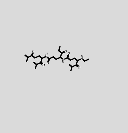 CCNC(CCC(=O)NC(CCC(=O)NC(CCC(=O)C(C)C)C(=O)C(C)C)C(=O)CC)C(=O)C(C)C